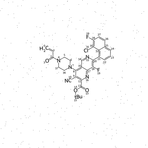 C=CC(=O)N1CCN(c2c(C#N)c(C(=O)OC(C)(C)C)nc3c(F)c(-c4cccc5ccc(F)c(Cl)c45)ncc23)CC1